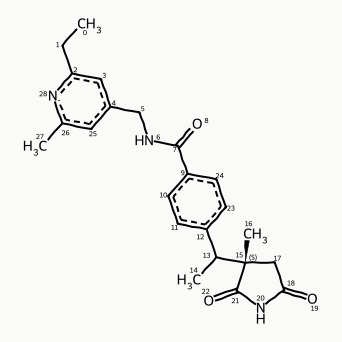 CCc1cc(CNC(=O)c2ccc(C(C)[C@]3(C)CC(=O)NC3=O)cc2)cc(C)n1